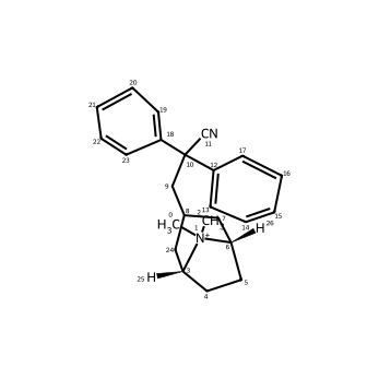 C[N+]1(C)[C@@H]2CC[C@H]1CC(CC(C#N)(c1ccccc1)c1ccccc1)C2